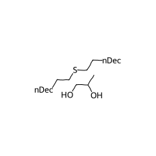 CC(O)CO.CCCCCCCCCCCCSCCCCCCCCCCCC